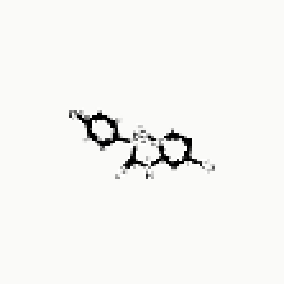 O=C(Nc1cc(C(F)(F)F)cc[n+]1O)Oc1ccc(Cl)cc1